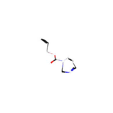 C=CCOC(=O)N1C=CC=NC1